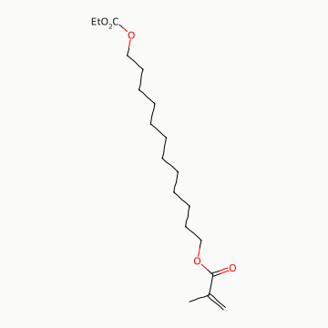 C=C(C)C(=O)OCCCCCCCCCCCCOC(=O)OCC